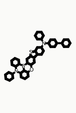 c1ccc(-c2ccc(N(c3ccccc3)c3ccc4c(c3)sc3cc5c(cc34)Oc3cccc4c3B5c3ccccc3N4c3ccccc3)cc2)cc1